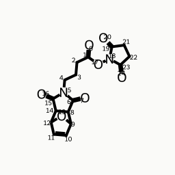 O=C(CCCN1C(=O)C2C3C=CC(O3)C2C1=O)ON1C(=O)CCC1=O